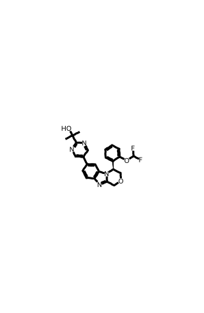 CC(C)(O)c1ncc(-c2ccc3nc4n(c3c2)[C@@H](c2ccccc2OC(F)F)COC4)cn1